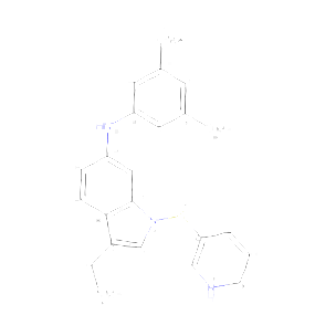 CNCc1cn(SC2=CNCC=C2)c2cc(Nc3cc(OC)cc(OC)c3)ccc12